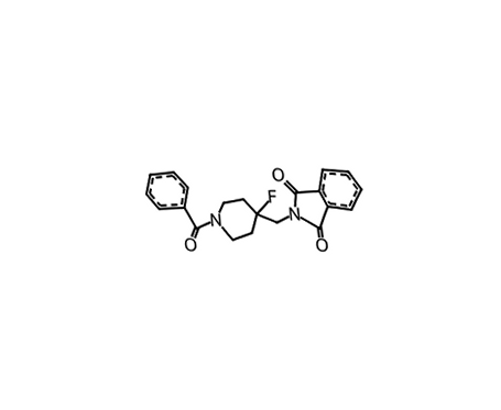 O=C(c1ccccc1)N1CCC(F)(CN2C(=O)c3ccccc3C2=O)CC1